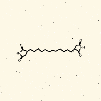 O=C1CC(CCCCCCCCCCCCC2CC(=O)NC2=O)C(=O)N1